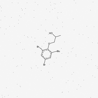 CCC(C)c1cc(Br)cc(Br)c1OCC(C)O